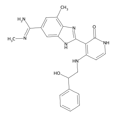 CN=C(N)c1cc(C)c2nc(-c3c(NCC(O)c4ccccc4)cc[nH]c3=O)[nH]c2c1